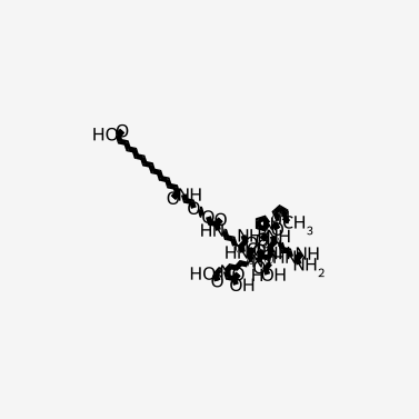 CN1CCC[C@H]1C(=O)N1CCC[C@H]1C(=O)N[C@@H](CCCNC(=N)N)C(=O)N[C@@H](CC(=O)O)C(=O)N[C@@H](CCCCN(CC(=O)O)CC(=O)O)C(=O)N[C@@H](CCCCNC(=O)COCCOCCNC(=O)CCCCCCCCCCCCCCC(=O)O)C(N)=O